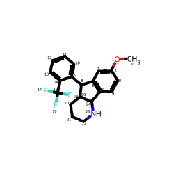 COc1ccc2c(c1)C(c1ccccc1C(F)(F)F)C1CCCNC21